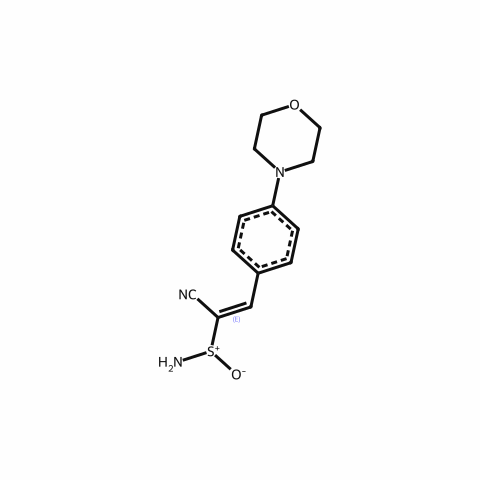 N#C/C(=C\c1ccc(N2CCOCC2)cc1)[S+](N)[O-]